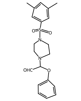 Cc1cc(C)cc(S(=O)(=O)N2CCN(C(C=O)Oc3ccccc3)CC2)c1